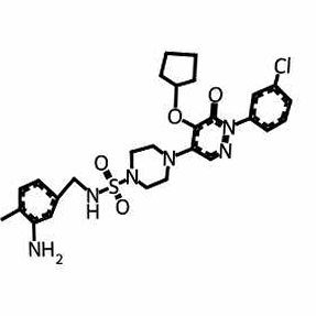 Cc1ccc(CNS(=O)(=O)N2CCN(c3cnn(-c4cccc(Cl)c4)c(=O)c3OC3CCCC3)CC2)cc1N